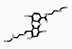 CC(C)CNCC/N=C/c1c(O)cc(O)c2nc3c(C(=O)NCCNCC(C)C)ccc(O)c3nc12